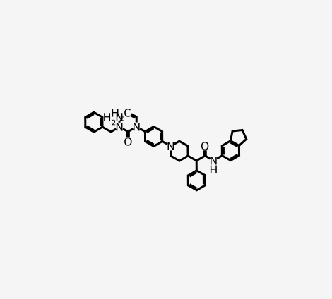 C=CN(C(=O)N(N)Cc1ccccc1)c1ccc(N2CCC(C(C(=O)Nc3ccc4c(c3)CCC4)c3ccccc3)CC2)cc1